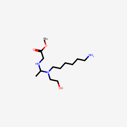 CC(NCC(=O)OC(C)(C)C)N(CCO)CCCCCCN